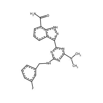 CN(C)c1nc(NCc2cccc(F)c2)nc(-c2n[nH]c3c(C(N)=O)cccc23)n1